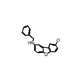 Clc1ccc2oc3ccc(NCc4ccccc4)cc3c2c1